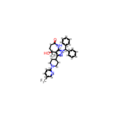 O=C1CCC(O)(C(F)(F)F)c2c(C3CCN(c4ccc(C(F)(F)F)cn4)CC3)nn(C(c3ccccc3)c3ccccc3)c2N1